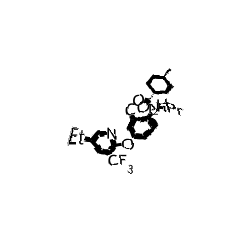 CCc1cnc(Oc2ccc(N(C(=O)[C@H]3CC[C@H](C)CC3)C(C)C)c(C(=O)O)c2)c(C(F)(F)F)c1